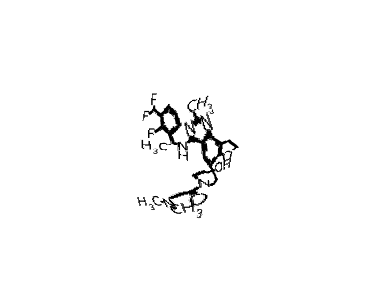 Cc1nc(N[C@H](C)c2cccc(C(F)F)c2F)c2cc(C3(O)CCN(C(=O)CN(C)C)CC3)c3c(c2n1)CCO3